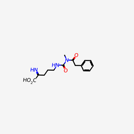 CN(C(=O)Cc1ccccc1)C(=O)NCCCC(=N)C(=O)O